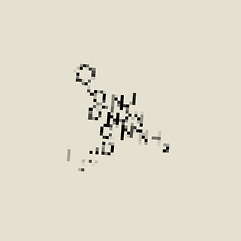 CCOC(=O)Cn1c(N)nc2c(I)nc(C(=O)OCc3ccccc3)nc21